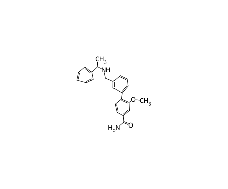 COc1cc(C(N)=O)ccc1-c1cccc(CN[C@H](C)c2ccccc2)c1